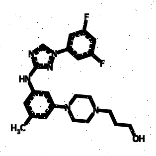 Cc1cc(Nc2ncn(-c3cc(F)cc(F)c3)n2)cc(N2CCN(CCCO)CC2)c1